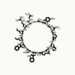 CCCC[C@H]1C(=O)N(C)[C@@H](CCCC)C(=O)N[C@@H](CCCNC(=N)N)C(=O)N[C@H](C(=O)NCC(N)=O)CSCC(=O)N[C@@H](Cc2ccc(O)cc2)C(=O)N(C)[C@@H](C)C(=O)N[C@@H](CC(N)=O)C(=O)N2CCC[C@H]2C(=O)N[C@@H](Cc2cnc[nH]2)C(=O)N[C@@H](CC(C)C)C(=O)N2CCC[C@H]2C(=O)N[C@@H](Cc2c[nH]c3ccccc23)C(=O)N[C@@H](CO)C(=O)N[C@@H](Cc2csc3ccccc23)C(=O)N1C